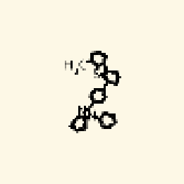 Cc1cccc2c1sc1c(-c3ccc(-c4nc5ccccc5n4-c4ccccc4)cc3)cccc12